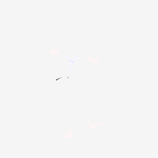 COc1ccc(C[C@@H](C)N2C(=O)c3ccccc3C2=O)cc1OC